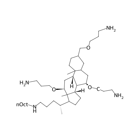 CCCCCCCCNCCC[C@@H](C)C1CC[C@H]2C3[C@H](OCCCN)CC4CC(COCCCN)CCC4(C)[C@H]3C[C@H](OCCCN)C12C